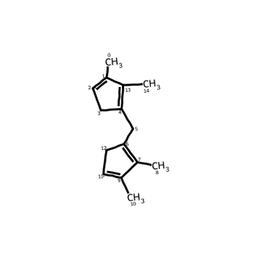 CC1=[C]CC(CC2=C(C)C(C)=[C]C2)=C1C